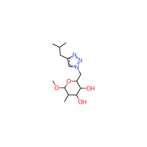 COC1OC(Cn2cc(CC(C)C)nn2)C(O)C(O)C1C